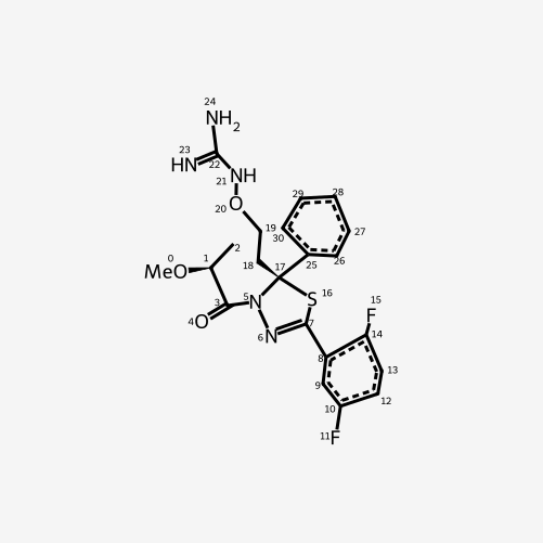 CO[C@@H](C)C(=O)N1N=C(c2cc(F)ccc2F)S[C@@]1(CCONC(=N)N)c1ccccc1